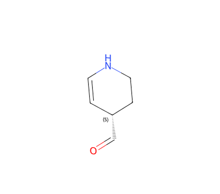 O=C[C@@H]1C=CNCC1